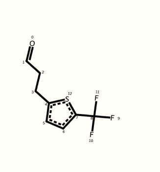 O=CCCc1ccc(C(F)(F)F)s1